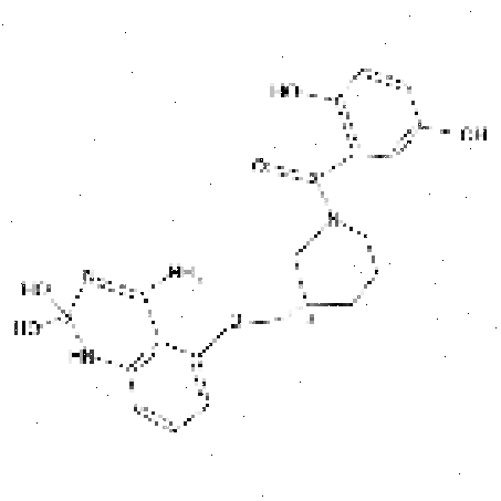 NC1=NS(O)(O)Nc2cccc(OC[C@H]3CCCN(C(=O)c4cc(O)ccc4O)C3)c21